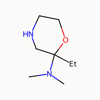 CCC1(N(C)C)CNCCO1